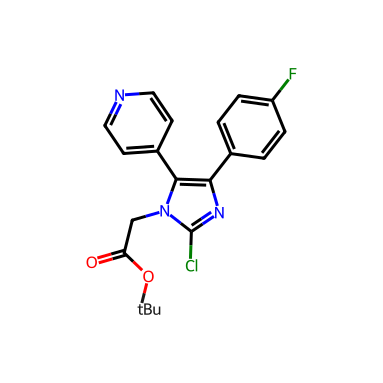 CC(C)(C)OC(=O)Cn1c(Cl)nc(-c2ccc(F)cc2)c1-c1ccncc1